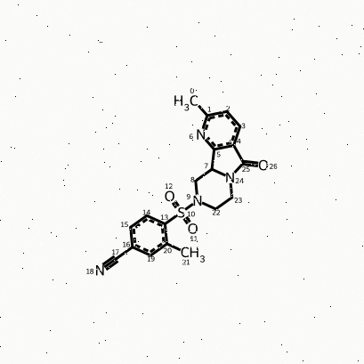 Cc1ccc2c(n1)C1CN(S(=O)(=O)c3ccc(C#N)cc3C)CCN1C2=O